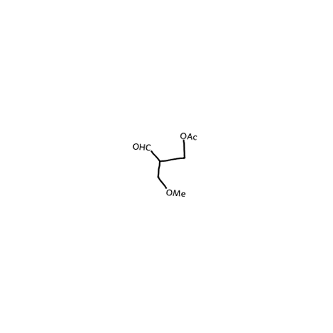 COCC(C=O)COC(C)=O